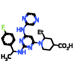 CCC1CC(C(=O)O)CCN1c1cc(Nc2cnccn2)nc(NC(C)c2ccc(F)cc2)n1